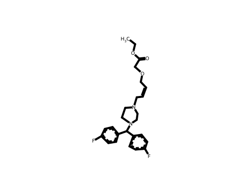 CCOC(=O)COC/C=C\CN1CCN(C(c2ccc(F)cc2)c2ccc(F)cc2)CC1